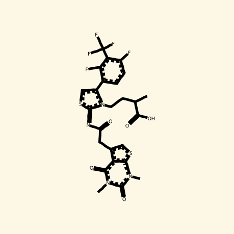 CC(CCn1c(-c2ccc(F)c(C(F)(F)F)c2F)csc1=NC(=O)Cc1csc2c1c(=O)n(C)c(=O)n2C)C(=O)O